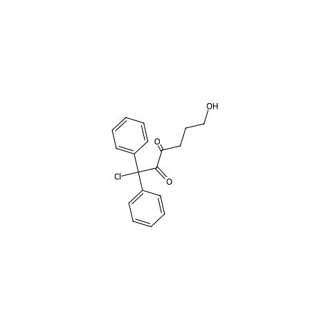 O=C(CCCO)C(=O)C(Cl)(c1ccccc1)c1ccccc1